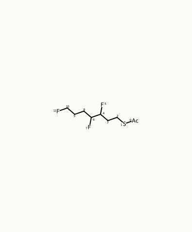 CC(=O)SCCC(F)C(F)CCCF